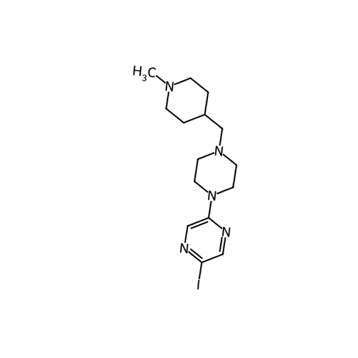 CN1CCC(CN2CCN(c3cnc(I)cn3)CC2)CC1